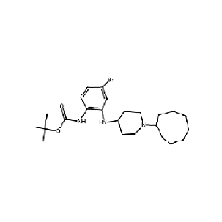 CC(C)(C)OC(=O)Nc1ccc(Br)cc1NC1CCN(C2CCCCCCC2)CC1